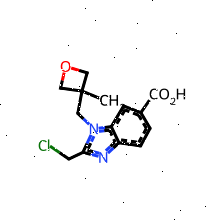 CC1(Cn2c(CCl)nc3ccc(C(=O)O)cc32)COC1